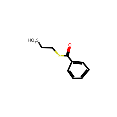 O=C(SCCS(=O)(=O)O)c1ccccc1